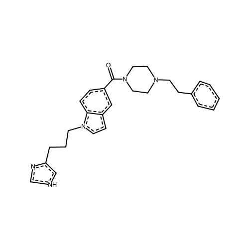 O=C(c1ccc2c(ccn2CCCc2c[nH]cn2)c1)N1CCN(CCc2ccccc2)CC1